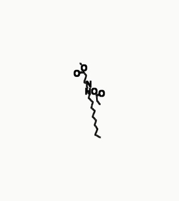 CCC(=O)O.CCCCCCCCCCC=CN=CCC(=O)OC